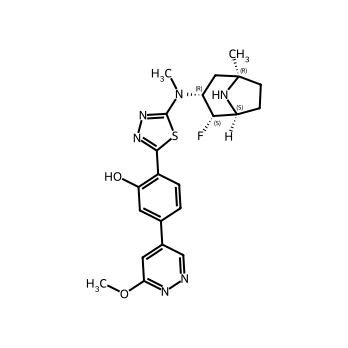 COc1cc(-c2ccc(-c3nnc(N(C)[C@@H]4C[C@@]5(C)CC[C@H](N5)[C@@H]4F)s3)c(O)c2)cnn1